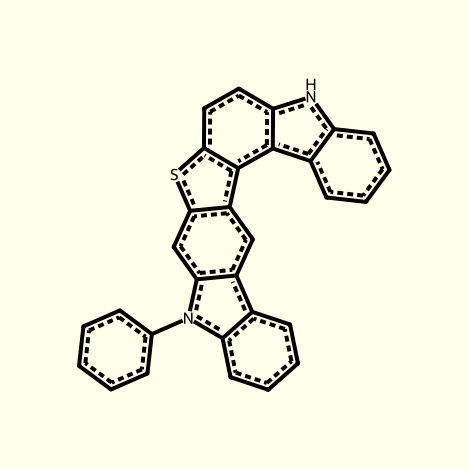 c1ccc(-n2c3ccccc3c3cc4c(cc32)sc2ccc3[nH]c5ccccc5c3c24)cc1